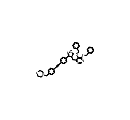 C(#Cc1ccc(C2=NOCC2Cc2ncnc(OCc3ccccc3)c2OCc2ccccc2)cc1)c1ccc(CN2CCOCC2)cc1